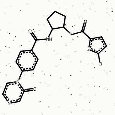 O=C(NC1CCCC1CC(=O)c1ccc(Cl)s1)c1ccc(-n2ccncc2=O)cc1